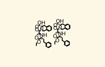 CCOC(=O)[C@H](CCc1ccccc1)N[C@@H](C)C(=O)N1Cc2ccccc2C[C@H]1C(=O)O.CCOC(=O)[C@H](CCc1ccccc1)N[C@@H](C)C(=O)N1Cc2ccccc2C[C@H]1C(=O)O